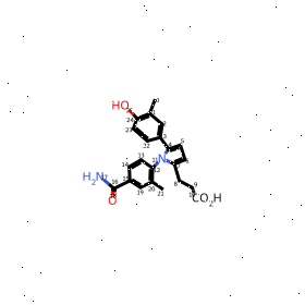 Cc1cc(-c2ccc(CCC(=O)O)n2-c2ccc(C(N)=O)cc2C)ccc1O